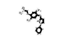 CCN(C)C=Nc1cc(C)c(Oc2ccn(-c3ccccc3)n2)cc1C